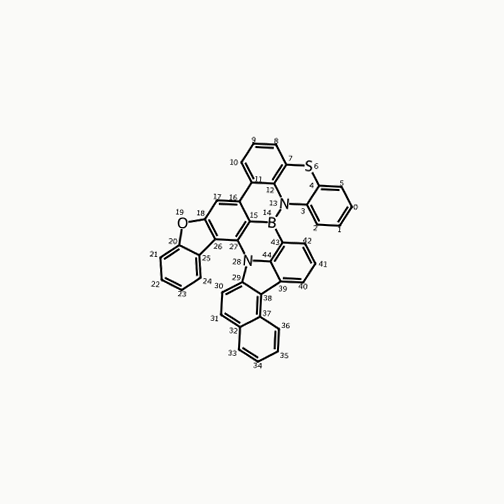 c1ccc2c(c1)Sc1cccc3c1N2B1c2c-3cc3oc4ccccc4c3c2-n2c3ccc4ccccc4c3c3cccc1c32